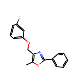 Cc1oc(-c2ccccc2)nc1COc1[c]c(Cl)ccc1